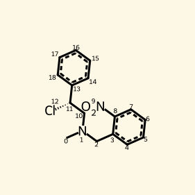 CN(Cc1ccccc1[N+](=O)[O-])C[C@H](Cl)c1ccccc1